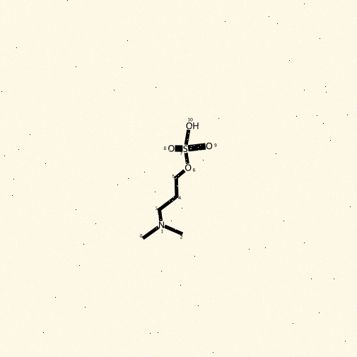 CN(C)CCCOS(=O)(=O)O